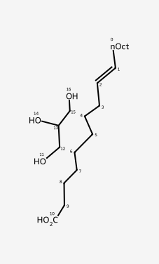 CCCCCCCCC=CCCCCCCCC(=O)O.OCC(O)CO